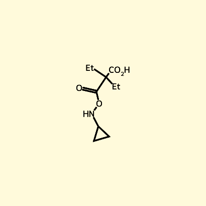 CCC(CC)(C(=O)O)C(=O)ONC1CC1